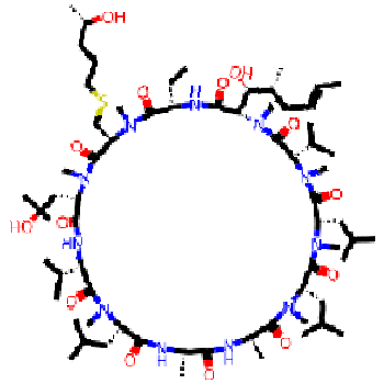 C/C=C/C[C@@H](C)[C@@H](O)[C@H]1C(=O)N[C@@H](CC)C(=O)N(C)[C@H](CSCCC[C@H](C)O)C(=O)N(C)[C@@H](CC(C)(C)O)C(=O)N[C@@H](C(C)C)C(=O)N(C)[C@@H](CC(C)C)C(=O)N[C@@H](C)C(=O)N[C@H](C)C(=O)N(C)[C@@H](CC(C)C)C(=O)N(C)[C@@H](CC(C)C)C(=O)N(C)[C@@H](C(C)C)C(=O)N1C